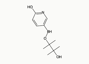 CC(C)(O)C(C)(C)OBc1ccc(O)nc1